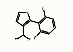 Fc1cccc(F)c1-c1sccc1C(F)F